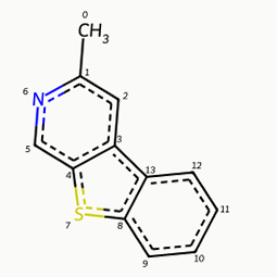 Cc1cc2c(cn1)sc1ccccc12